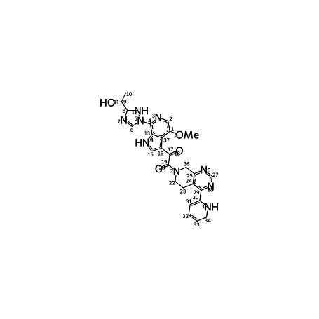 COc1cnc(N2C=NC(C(C)O)N2)c2[nH]cc(C(=O)C(=O)N3CCc4c(ncnc4C4=CC=CCN4)C3)c12